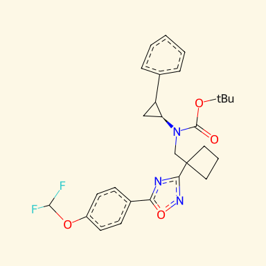 CC(C)(C)OC(=O)N(CC1(c2noc(-c3ccc(OC(F)F)cc3)n2)CCC1)[C@H]1CC1c1ccccc1